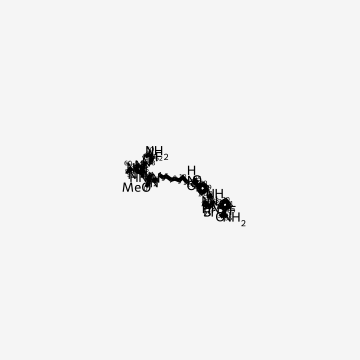 COc1nn(CCCCCCCCNS(=O)(=O)c2ccc(Nc3ncc(Br)c(Nc4cccc(F)c4C(N)=O)n3)cc2)cc1Nc1nc(N2C[C@@H](N)[C@H](F)C2)nc2c1ncn2C